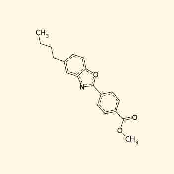 CCCCc1ccc2oc(-c3ccc(C(=O)OC)cc3)nc2c1